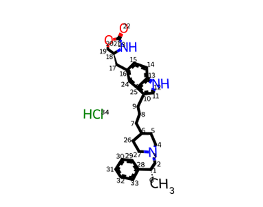 C[C@@H](CN1CCC(CCCc2c[nH]c3ccc(C[C@H]4COC(=O)N4)cc23)CC1)c1ccccc1.Cl